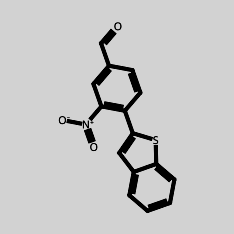 O=Cc1ccc(-c2cc3ccccc3s2)c([N+](=O)[O-])c1